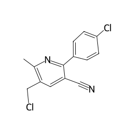 Cc1nc(-c2ccc(Cl)cc2)c(C#N)cc1CCl